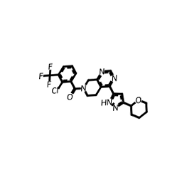 O=C(c1cccc(C(F)(F)F)c1Cl)N1CCc2c(ncnc2-c2cc(C3CCCCO3)n[nH]2)C1